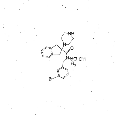 CN(Cc1cccc(Br)c1)C(=O)C1(N2CCNCC2)Cc2ccccc2C1.Cl.Cl